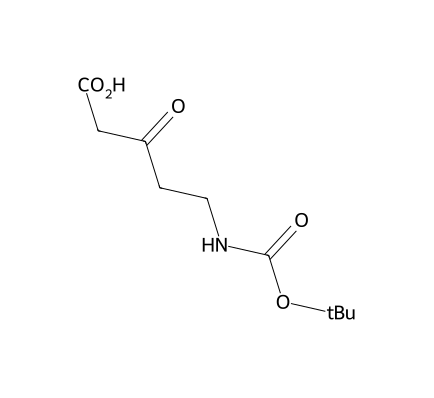 CC(C)(C)OC(=O)NCCC(=O)CC(=O)O